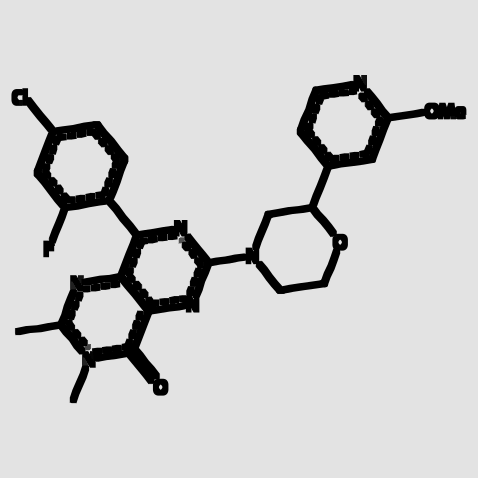 COc1cc(C2CN(c3nc(-c4ccc(Cl)cc4F)c4nc(C)n(C)c(=O)c4n3)CCO2)ccn1